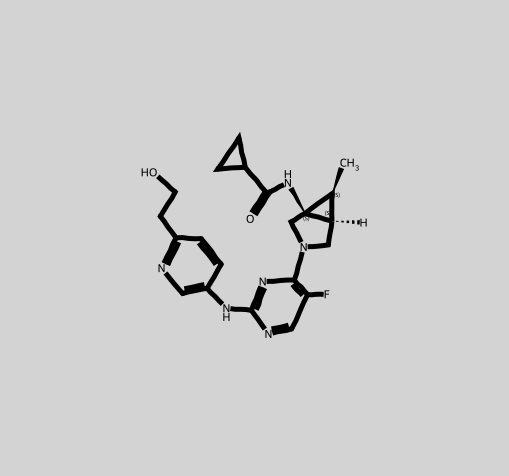 C[C@H]1[C@H]2CN(c3nc(Nc4ccc(CCO)nc4)ncc3F)C[C@@]21NC(=O)C1CC1